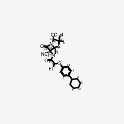 CCC(Sc1ccc(C2CCCCC2)cc1)C(=O)N[C@@]1(C#N)C(=O)N2[C@@H](C(=O)O)C(C)(C)S[C@@H]21